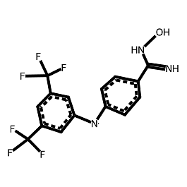 N=C(NO)c1ccc([N]c2cc(C(F)(F)F)cc(C(F)(F)F)c2)cc1